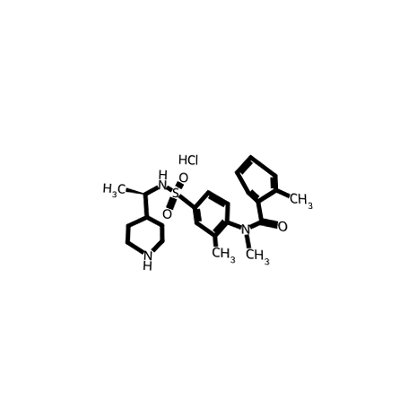 Cc1ccccc1C(=O)N(C)c1ccc(S(=O)(=O)N[C@H](C)C2CCNCC2)cc1C.Cl